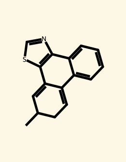 CC1C=c2c(c3ccccc3c3ncsc23)=CC1